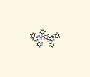 c1ccc(-c2nc(-c3ccccc3)c3oc4cc5c(cc4c3n2)c2ccccc2n5-c2nc(-c3ccccc3)c3ccc4ccccc4c3n2)cc1